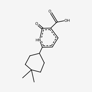 CC1(C)CCC(c2ccc(C(=O)O)c(=O)[nH]2)CC1